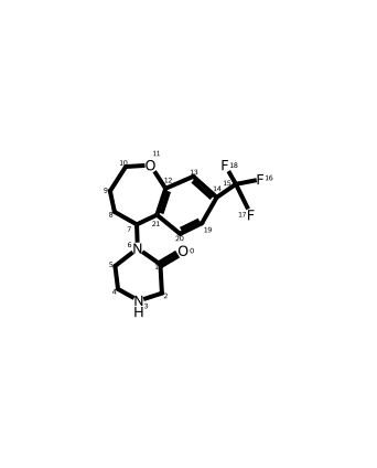 O=C1CNCCN1C1CCCOc2cc(C(F)(F)F)ccc21